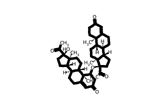 CC(=O)[C@@]1(OC2CC(=O)C=C3CC[C@H]4[C@@H]5CC[C@](O)(C(C)=O)[C@@]5(C)CC[C@@H]4[C@]32C)CC[C@H]2[C@@H]3CCC4=CC(=O)CC[C@]4(C)[C@H]3CC[C@@]21C